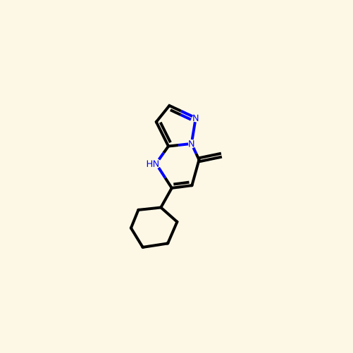 C=C1C=C(C2CCCCC2)Nc2ccnn21